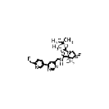 CC(C)(C)OC(=O)N1C[C@H](F)C[C@@]1(C)C(=O)NCc1cc(-c2ccc(CF)nc2)ncn1